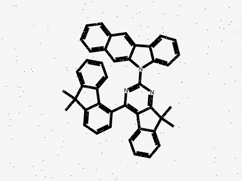 CC1(C)c2ccccc2-c2c(-c3nc(-n4c5ccccc5c5cc6ccccc6cc54)nc4c3-c3ccccc3C4(C)C)cccc21